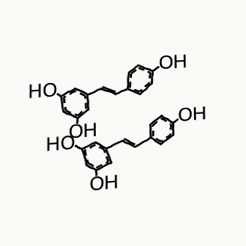 Oc1ccc(C=Cc2cc(O)cc(O)c2)cc1.Oc1ccc(C=Cc2cc(O)cc(O)c2)cc1